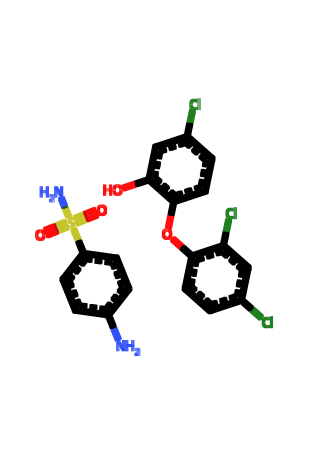 Nc1ccc(S(N)(=O)=O)cc1.Oc1cc(Cl)ccc1Oc1ccc(Cl)cc1Cl